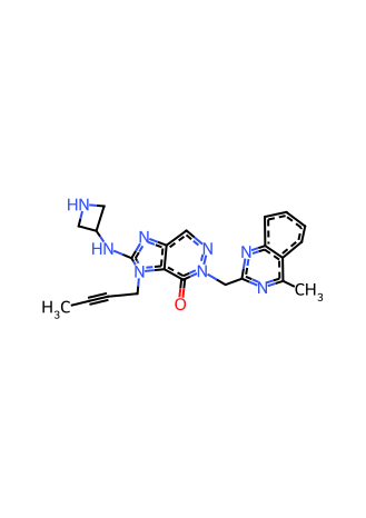 CC#CCn1c(NC2CNC2)nc2cnn(Cc3nc(C)c4ccccc4n3)c(=O)c21